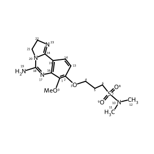 COc1c(OCCCS(=O)(=O)N(C)C)ccc2c1N=C(N)N1CCN=C21